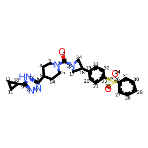 O=C(N1CCC(c2nnc(C3CC3)[nH]2)CC1)N1CC(c2ccc(S(=O)(=O)c3ccccc3)cc2)C1